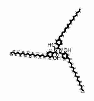 CCCCCCCCCCCCCCCc1ccc(-c2nc(-c3ccc(CCCCCCCCCCCCCCC)cc3O)nc(-c3ccc(CCCCCCCCCCCCCCC)cc3O)n2)c(O)c1